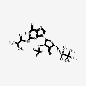 CC(C)C(=O)Nc1nc2c(ncn2[C@@H]2O[C@H](CO[Si](C)(C)C(C)(C)C)C(=N)[C@H]2OC(F)(F)F)c(=O)[nH]1